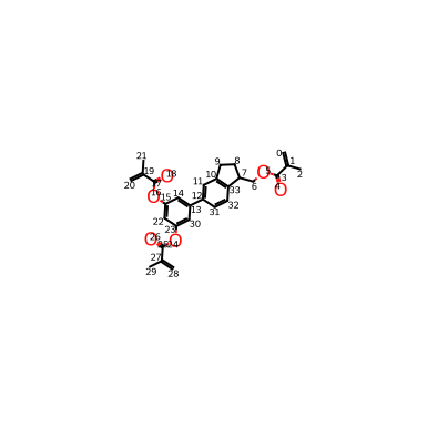 C=C(C)C(=O)OCC1CCc2cc(-c3cc(OC(=O)C(=C)C)cc(OC(=O)C(=C)C)c3)ccc21